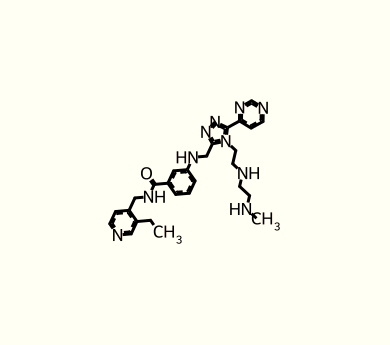 CCc1cnccc1CNC(=O)c1cccc(NCc2nnc(-c3ccncn3)n2CCNCCNC)c1